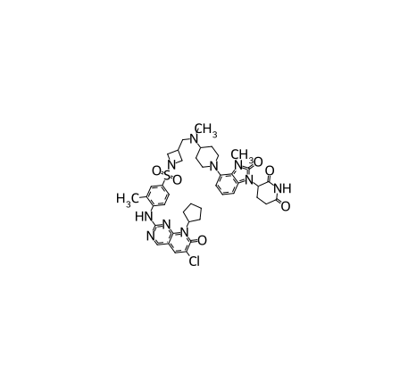 Cc1cc(S(=O)(=O)N2CC(CN(C)C3CCN(c4cccc5c4n(C)c(=O)n5C4CCC(=O)NC4=O)CC3)C2)ccc1Nc1ncc2cc(Cl)c(=O)n(C3CCCC3)c2n1